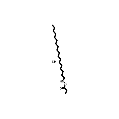 CCCCCCCCCCCCCCCCCCNOC(=O)CC.[KH]